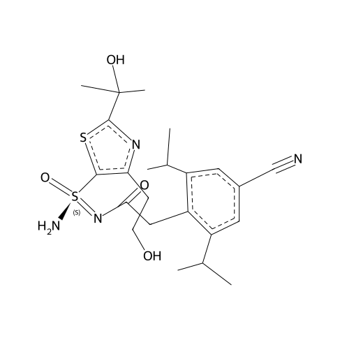 CC(C)c1cc(C#N)cc(C(C)C)c1CC(=O)N=[S@](N)(=O)c1sc(C(C)(C)O)nc1CCO